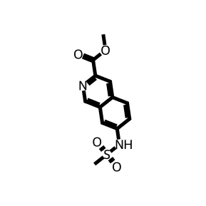 COC(=O)c1cc2ccc(NS(C)(=O)=O)cc2cn1